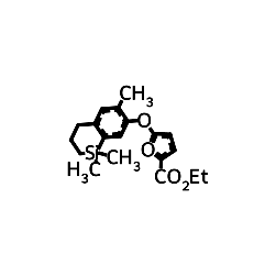 CCOC(=O)c1ccc(Oc2cc3c(cc2C)CCC[Si]3(C)C)o1